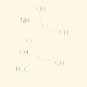 C=C(C)OC(=C)C.C=CN